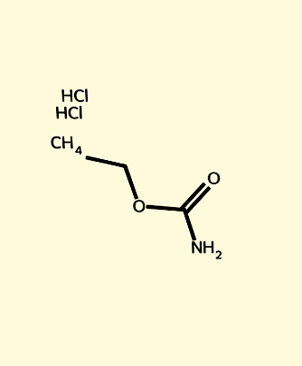 C.CCOC(N)=O.Cl.Cl